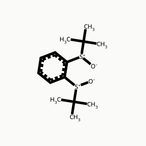 CC(C)(C)[S+]([O-])c1ccccc1[S+]([O-])C(C)(C)C